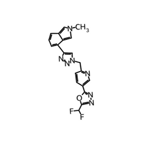 Cn1cc2cccc(-c3cn(Cc4ccc(-c5nnc(C(F)F)o5)cn4)nn3)c2c1